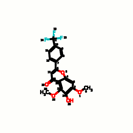 COc1cc2oc(-c3ccc(C(F)(F)F)cc3)cc(=O)c2c(OC)c1O